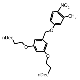 [CH2]c1cc(OCc2cc(OCCCCCCCCCCCC)cc(OCCCCCCCCCCCC)c2)ccc1[N+](=O)[O-]